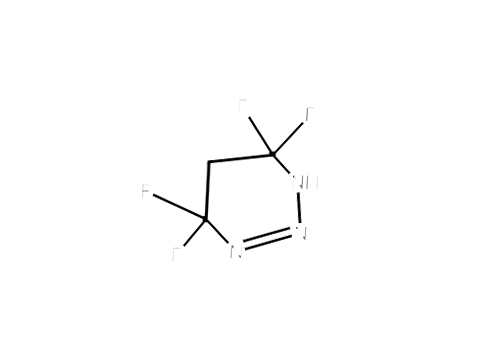 FC1(F)CC(F)(F)NN=N1